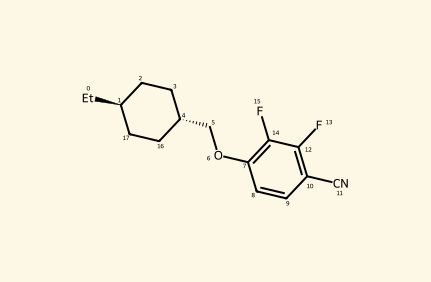 CC[C@H]1CC[C@H](COc2ccc(C#N)c(F)c2F)CC1